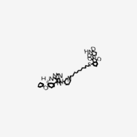 Nc1ncnc2c1c(-c1ccc(Oc3ccccc3)cc1)nn2C1CCCN(CCCCCCCCCCSc2cccc3c2C(=O)N(C2CCC(=O)NC2=O)C3=O)C1